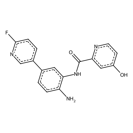 Nc1ccc(-c2ccc(F)nc2)cc1NC(=O)c1cc(O)ccn1